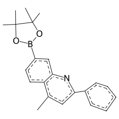 Cc1cc(-c2ccccc2)nc2cc(B3OC(C)(C)C(C)(C)O3)ccc12